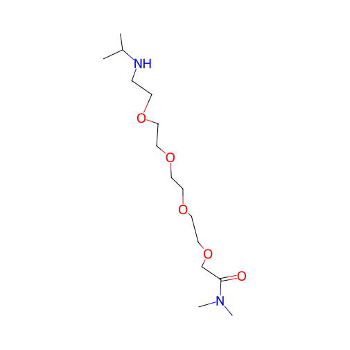 CC(C)NCCOCCOCCOCCOCC(=O)N(C)C